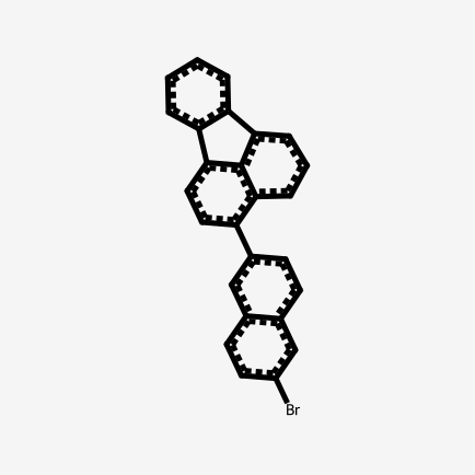 Brc1ccc2cc(-c3ccc4c5c(cccc35)-c3ccccc3-4)ccc2c1